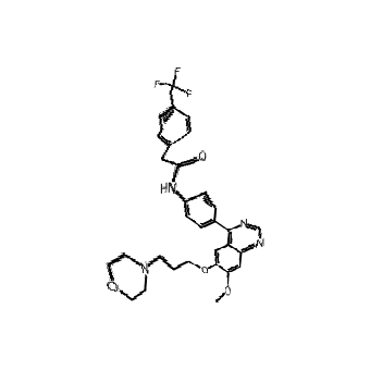 COc1cc2ncnc(-c3ccc(NC(=O)Cc4ccc(C(F)(F)F)cc4)cc3)c2cc1OCCCN1CCOCC1